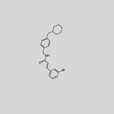 O=C(C=Cc1cccc(Br)c1)NCc1ccc(C[C]2CCCCC2)cc1